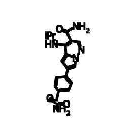 CC(C)Nc1c(C(N)=O)cnn2cc(-c3ccc(S(N)(=O)=O)cc3)cc12